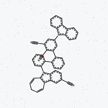 N#Cc1ccc2c(c1)c1c(n2-c2ccccc2-c2ccccc2-c2cc(-n3c4ccccc4c4ccccc43)cc(C#N)c2C#N)C=CCC=C1